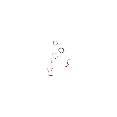 O=C(CN1CCN(c2cc(F)ccc2OC2CCCC2)CC1)CN1C(=O)C2CC=CCC2C1=O.O=C(O)C=CC(=O)O